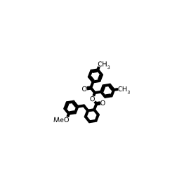 COc1cccc(CC2CCCCC2C(=O)OC(C(=O)c2ccc(C)cc2)c2ccc(C)cc2)c1